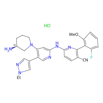 CCn1cc(-c2cnc(Nc3ccc(C#N)c(-c4c(F)cccc4OC)n3)cc2N2CCC[C@H](N)C2)cn1.Cl